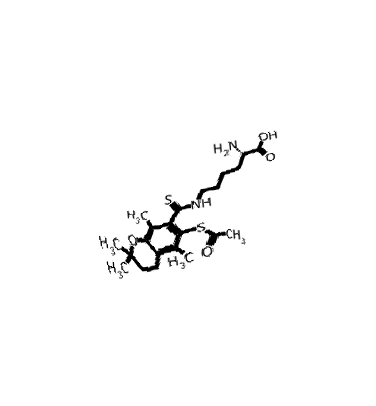 CC(=O)Sc1c(C)c2c(c(C)c1C(=S)NCCCC[C@H](N)C(=O)O)OC(C)(C)CC2